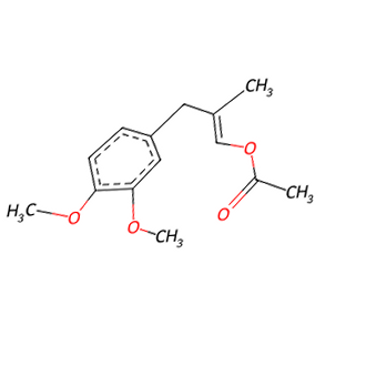 COc1ccc(CC(C)=COC(C)=O)cc1OC